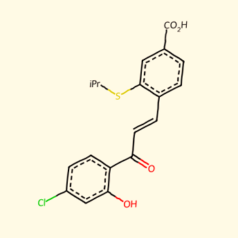 CC(C)Sc1cc(C(=O)O)ccc1/C=C/C(=O)c1ccc(Cl)cc1O